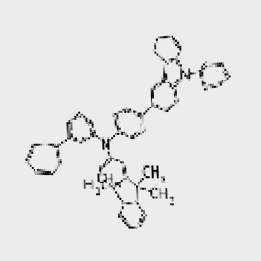 C=C1/C(=C\C(=C/C)N(c2ccc(-c3ccc4c(c3)c3c(n4-c4ccccc4)C=CCC3)cc2)c2cccc(C3=CC=CC=CC3)c2)C(C)(C)C2C=CC=CC12